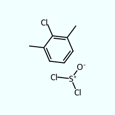 Cc1cccc(C)c1Cl.[O-][S+](Cl)Cl